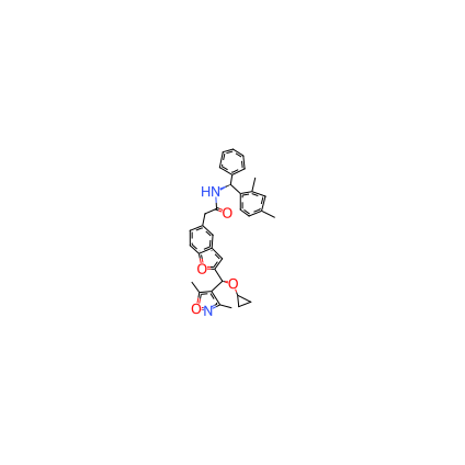 Cc1ccc([C@@H](NC(=O)Cc2ccc3oc([C@@H](OC4CC4)c4c(C)noc4C)cc3c2)c2ccccc2)c(C)c1